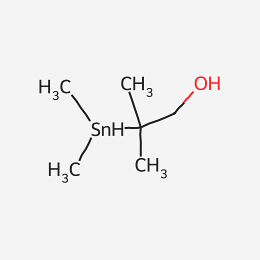 [CH3][SnH]([CH3])[C](C)(C)CO